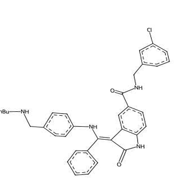 CCCCNCc1ccc(NC(=C2C(=O)Nc3ccc(C(=O)NCc4cccc(Cl)c4)cc32)c2ccccc2)cc1